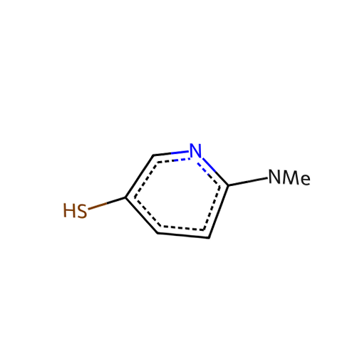 [CH]Nc1ccc(S)cn1